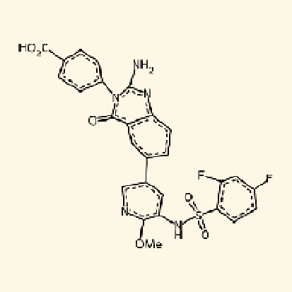 COc1ncc(-c2ccc3nc(N)n(-c4ccc(C(=O)O)cc4)c(=O)c3c2)cc1NS(=O)(=O)c1ccc(F)cc1F